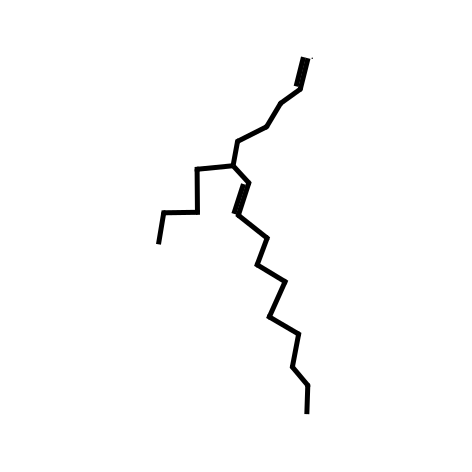 [CH]=CCCCC(C=CCCCCCCCC)CCCC